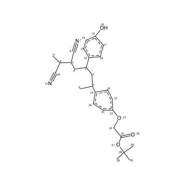 CC(CC(CC(C#N)C(C)C#N)c1ccc(O)cc1)c1ccc(OCC(=O)OC(C)(C)C)cc1